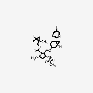 C[C@@H]1C[C@H](NS(C)(=O)=O)[C@H](CO[C@H]2CC[C@@]3(c4ncc(F)cn4)C[C@H]3C2)N1C(=O)OCC1(C)CC1(F)F